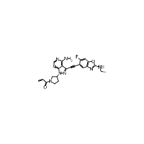 C=CC(=O)N1CCC(n2nc(C#Cc3cc4nc(NCC)oc4cc3F)c3c(N)ncnc32)C1